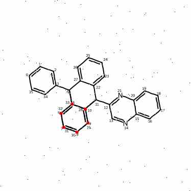 c1ccc(C23c4ccccc4C(c4cnc5ccccc5n4)(c4ccccc42)c2ccccc23)cc1